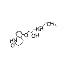 CCCCNCC(O)COc1cccc2c1CCCC(=O)N2